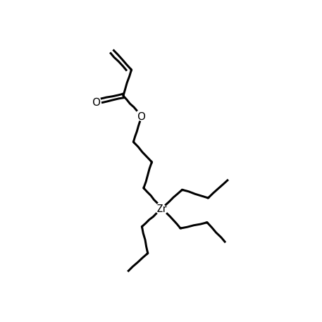 C=CC(=O)OCC[CH2][Zr]([CH2]CC)([CH2]CC)[CH2]CC